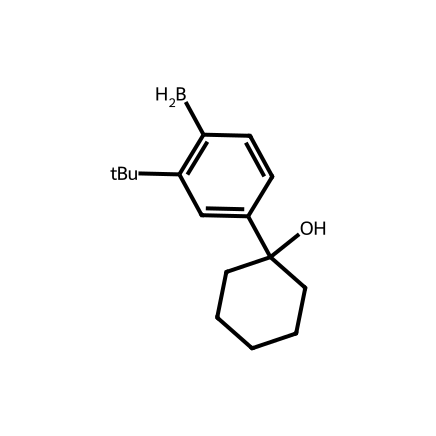 Bc1ccc(C2(O)CCCCC2)cc1C(C)(C)C